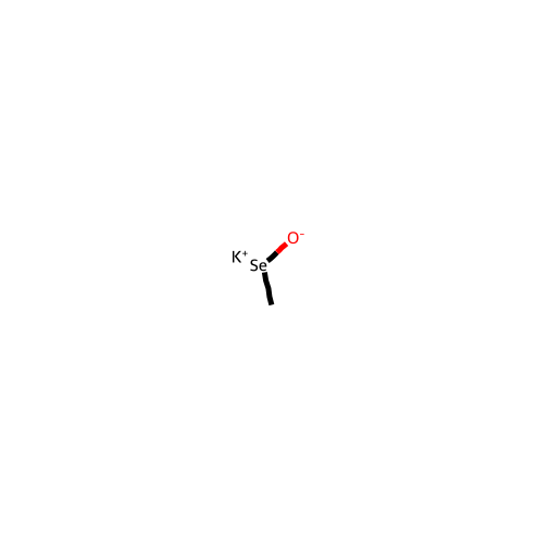 C[Se][O-].[K+]